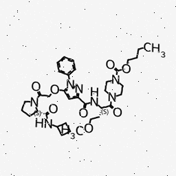 CCCCOC(=O)N1CCN(C(=O)[C@H](CCOC)NC(=O)c2cc(OCC(=O)N3CCC[C@H]3C(=O)NC3CCC3)n(-c3ccccc3)n2)CC1